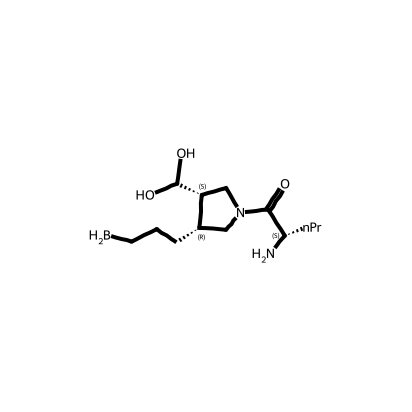 BCCC[C@H]1CN(C(=O)[C@@H](N)CCC)C[C@H]1C(O)O